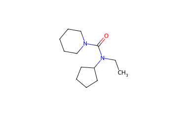 CCN(C(=O)N1CCCCC1)C1CCCC1